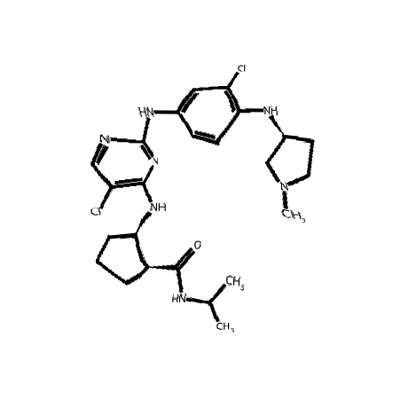 CC(C)NC(=O)[C@H]1CCC[C@H]1Nc1nc(Nc2ccc(N[C@H]3CCN(C)C3)c(Cl)c2)ncc1Cl